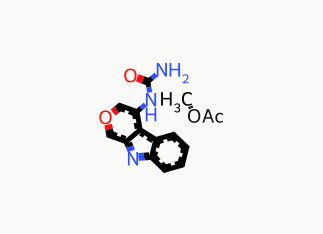 COC(C)=O.NC(=O)Nc1cocc2nc3ccccc3c1-2